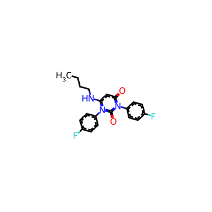 CCCCNc1cc(=O)n(-c2ccc(F)cc2)c(=O)n1-c1ccc(F)cc1